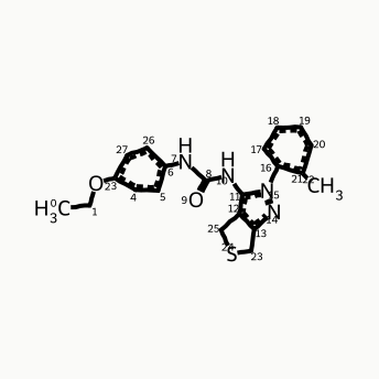 CCOc1ccc(NC(=O)Nc2c3c(nn2-c2ccccc2C)CSC3)cc1